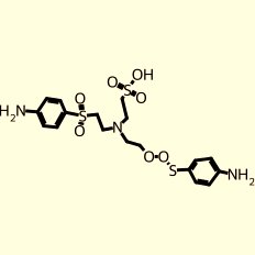 Nc1ccc(SOOCCN(CCS(=O)(=O)O)CCS(=O)(=O)c2ccc(N)cc2)cc1